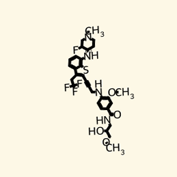 COCC(O)CNC(=O)c1ccc(NCC#Cc2sc3c(N[C@@H]4CCN(C)CC4F)cccc3c2CC(F)(F)F)c(OC)c1